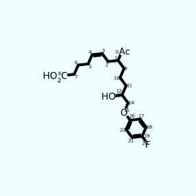 CC(=O)C(C/C=C\CCCC(=O)O)CCCC(O)COc1ccc(F)cc1